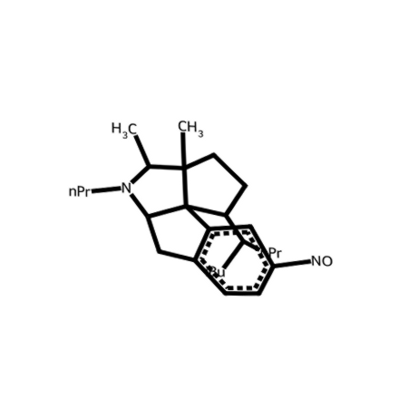 CCCC(C(C)CC)C1CCC2(C)C(C)N(CCC)C3Cc4ccc(N=O)cc4C132